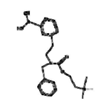 C[Si](C)(C)CCOC(=O)N(CCc1cccc(B(O)O)c1)Cc1ccccc1